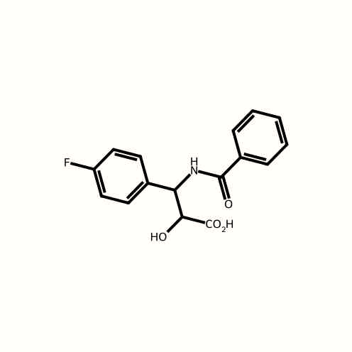 O=C(NC(c1ccc(F)cc1)C(O)C(=O)O)c1ccccc1